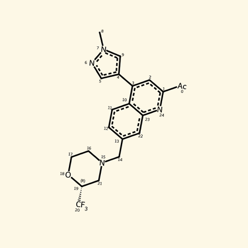 CC(=O)c1cc(-c2cnn(C)c2)c2ccc(CN3CCO[C@@H](C(F)(F)F)C3)cc2n1